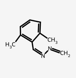 C=N/N=C\c1c(C)cccc1C